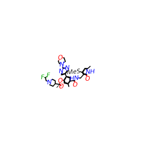 CSc1cc(C)[nH]c(=O)c1CNC(=O)c1cc(-c2cnc(N3CCOCC3)nc2)c2c(c1C)O[C@](C)(C1CCN(CC(F)F)CC1)O2